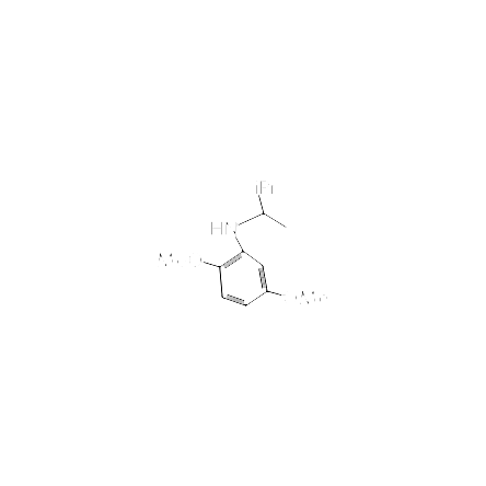 COc1ccc(OC)c(NC(C)C(C)C)c1